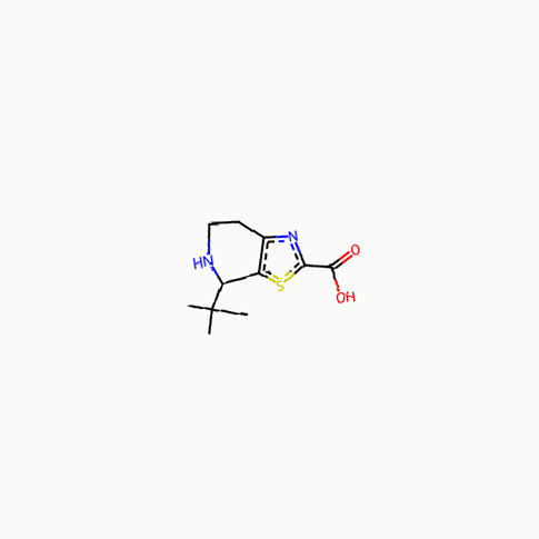 CC(C)(C)C1NCCc2nc(C(=O)O)sc21